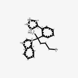 CC(C)CCCC(C(=O)O)(c1ccccc1-c1nn[nH]n1)n1cnc2ccccc21